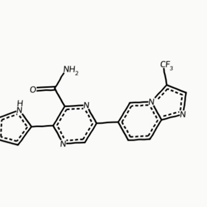 NC(=O)c1nc(-c2ccc3ncc(C(F)(F)F)n3c2)cnc1-c1ccc[nH]1